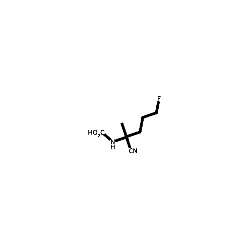 CC(C#N)(CCCF)NC(=O)O